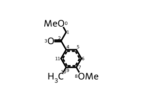 COCC(=O)c1ccc(OC)c(C)c1